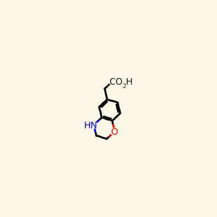 O=C(O)Cc1ccc2c(c1)NCCO2